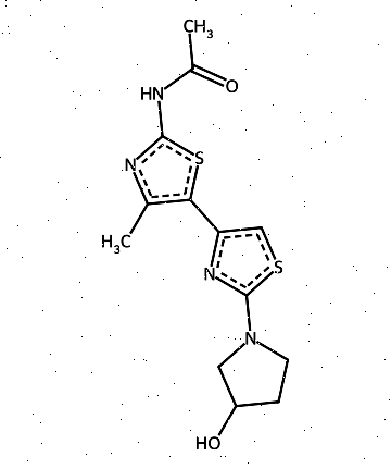 CC(=O)Nc1nc(C)c(-c2csc(N3CCC(O)C3)n2)s1